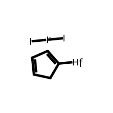 I[I-]I.[Hf][C]1=CC=CC1